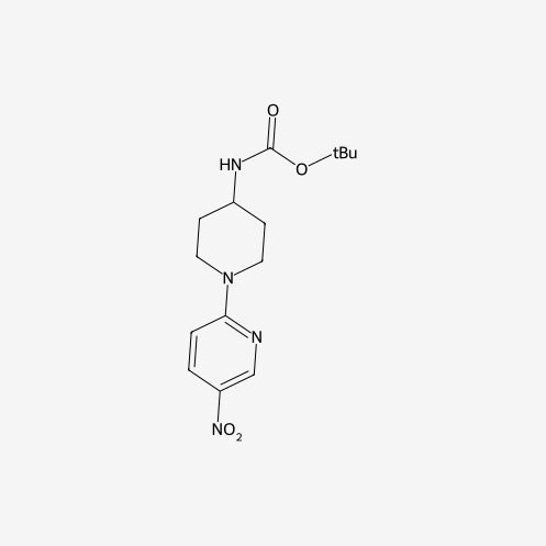 CC(C)(C)OC(=O)NC1CCN(c2ccc([N+](=O)[O-])cn2)CC1